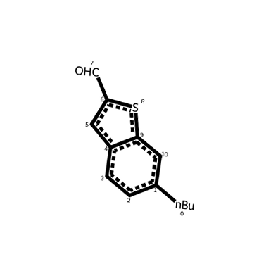 CCCCc1ccc2cc(C=O)sc2c1